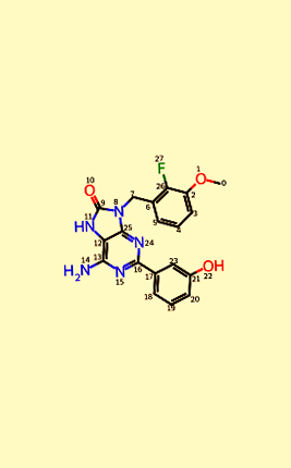 COc1cccc(Cn2c(=O)[nH]c3c(N)nc(-c4cccc(O)c4)nc32)c1F